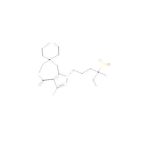 CCc1nn(CCCC(C)(CC(=O)O)[SH](=O)=O)c2c1C(=O)NCC1(CCOCC1)C2